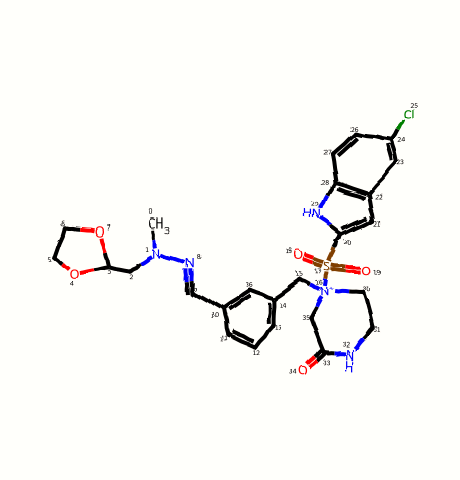 CN(CC1OCCO1)N=Cc1cccc(C[N+]2(S(=O)(=O)c3cc4cc(Cl)ccc4[nH]3)CCNC(=O)C2)c1